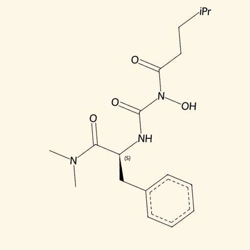 CC(C)CCC(=O)N(O)C(=O)N[C@@H](Cc1ccccc1)C(=O)N(C)C